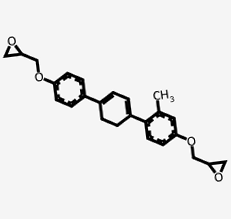 Cc1cc(OCC2CO2)ccc1C1=CC=C(c2ccc(OCC3CO3)cc2)CC1